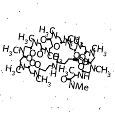 C#CCCC(=O)NCCC(=O)N(C)CC(=O)N(C)CC(=O)N(C)CC(=O)N(C)CC(=O)N(C)CC(=O)N(C)CC(=O)N(C)CC(=O)N(C)CC(=O)N(C)CC(=O)N(C)CC(=O)NC(C)C(=O)NC